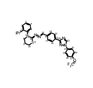 CC(C)c1ccccc1N1CCCS/C1=N\N=C\c1ccc(-c2ncn(-c3ccc(OC(F)(F)F)cc3)n2)cc1